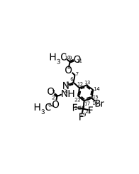 COC(=O)N/N=C(/COC(C)=O)c1ccc(Br)c(C(F)(F)F)c1